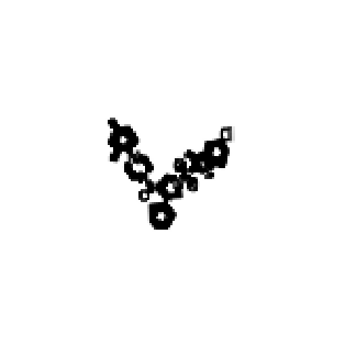 Cc1ccc(N2CCN(C(=O)[C@@H]3CN(S(=O)(=O)c4sc5ccc(Cl)cc5c4C)C[C@H]3c3ccccc3)CC2)c(C)c1